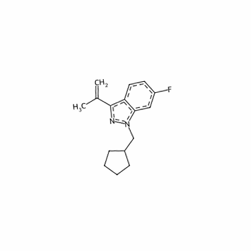 C=C(C)c1nn(CC2CCCC2)c2cc(F)ccc12